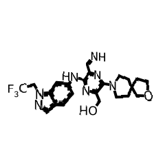 N=Cc1nc(N2CCC3(CCOC3)CC2)c(CO)nc1Nc1ccc2cnn(CC(F)(F)F)c2c1